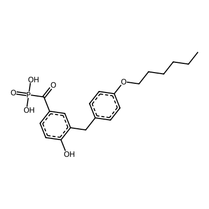 CCCCCCOc1ccc(Cc2cc(C(=O)P(=O)(O)O)ccc2O)cc1